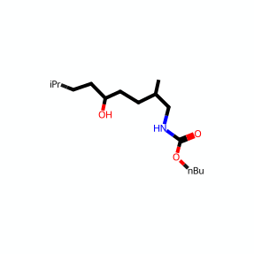 CCCCOC(=O)NCC(C)CCC(O)CCC(C)C